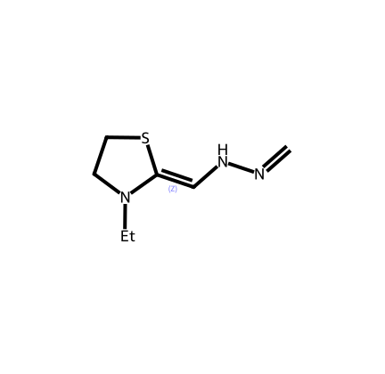 C=NN/C=C1\SCCN1CC